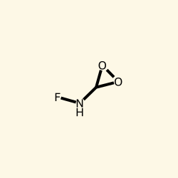 FNC1OO1